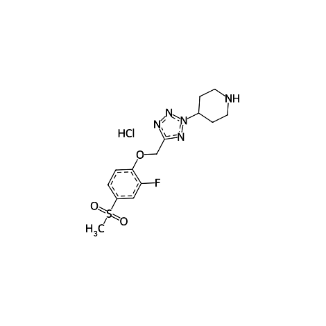 CS(=O)(=O)c1ccc(OCc2nnn(C3CCNCC3)n2)c(F)c1.Cl